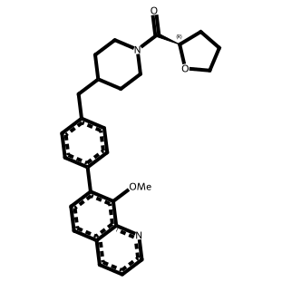 COc1c(-c2ccc(CC3CCN(C(=O)[C@H]4CCCO4)CC3)cc2)ccc2cccnc12